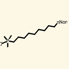 CCCCCCCCCCCCCCCCCCP(C)(C)(C)Cl